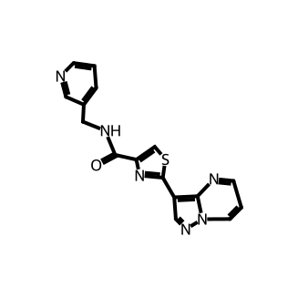 O=C(NCc1cccnc1)c1csc(-c2cnn3cccnc23)n1